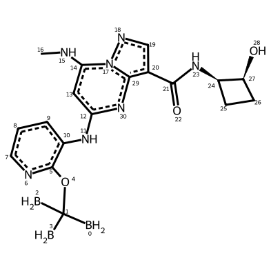 BC(B)(B)Oc1ncccc1Nc1cc(NC)n2ncc(C(=O)N[C@@H]3CC[C@@H]3O)c2n1